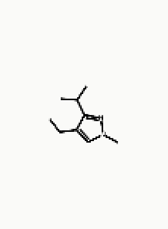 CCc1cn(C)nc1C(C)C